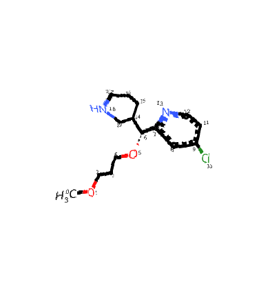 COCCCO[C@@H](c1cc(Cl)ccn1)C1CCCNC1